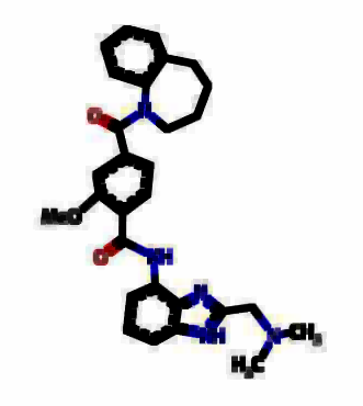 COc1cc(C(=O)N2CCCCc3ccccc32)ccc1C(=O)Nc1cccc2[nH]c(CN(C)C)nc12